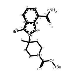 CC(C)(C)OC(=O)N1CCC(C)(n2nc3c(C(N)=O)cccc3c2Br)CC1